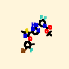 Cc1nc(Oc2ccc(Br)c(F)c2C)c(-c2ccnc(N[C@@H]3CN(C(=O)OC(C)(C)C)CC(F)(F)C3)n2)s1